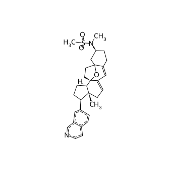 CN([C@H]1CCC2=CC3=CC[C@]4(C)[C@@H](c5ccc6ccncc6c5)CC[C@H]4[C@@]34CCC2(C1)O4)S(C)(=O)=O